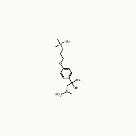 CN(CC(O)(c1ccc(OCCO[Si](C)(C)C(C)(C)C)cc1)C(C)(C)C)C(=O)O